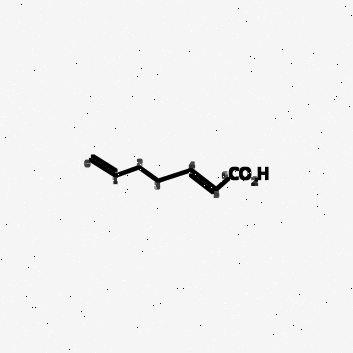 C=CCCC=CC(=O)O